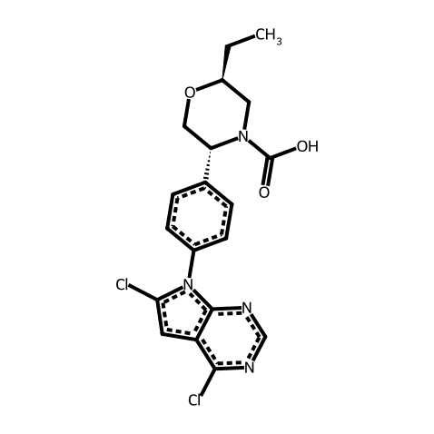 CC[C@H]1CN(C(=O)O)[C@H](c2ccc(-n3c(Cl)cc4c(Cl)ncnc43)cc2)CO1